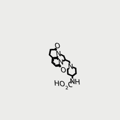 O=C(O)NC1CCN(CC2CN3C(=O)CCc4ccc(=O)n2c43)CC1